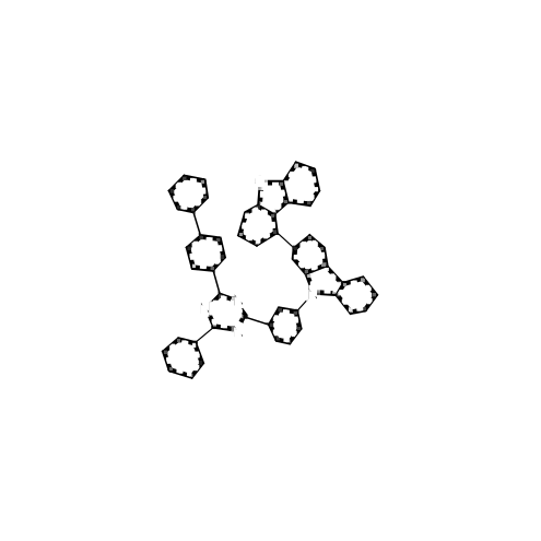 c1ccc(-c2ccc(-c3nc(-c4ccccc4)nc(-c4cccc(-n5c6ccccc6c6ccc(-c7cccc8oc9ccccc9c78)cc65)c4)n3)cc2)cc1